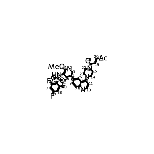 COc1ncc(-c2ccc3nccc(N4CCN(C(=O)/C=C/C(C)=O)CC4)c3c2)cc1NS(=O)(=O)c1c(F)cc(F)cc1F